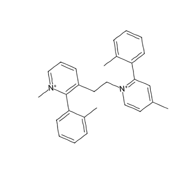 Cc1cc[n+](CCc2ccc[n+](C)c2-c2ccccc2C)c(-c2ccccc2C)c1